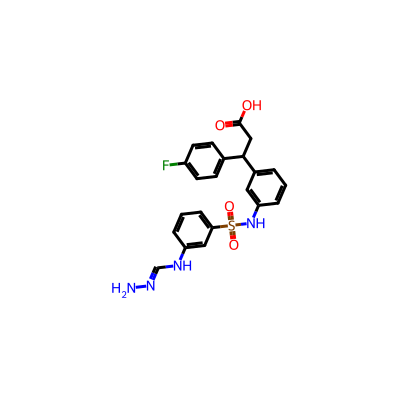 NN=CNc1cccc(S(=O)(=O)Nc2cccc(C(CC(=O)O)c3ccc(F)cc3)c2)c1